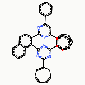 C1=CC=CC(c2nc(C3=CC=CC=CC3)nc(-c3c(-c4nc(-c5ccccc5)cc(-c5ccccc5)n4)ccc4ccccc34)n2)C=C1